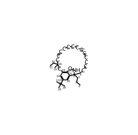 CCCC12CCCCCCCCCCCCCCC(C)(CC)Cc3cc(C(C)(C)C)cc1c3ON2